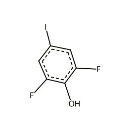 Oc1c(F)cc(I)cc1F